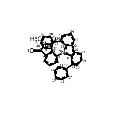 CN1C(=O)c2cccc(-n3c4c(-c5ccccc5)cccc4c4cccc(-c5ccccc5)c43)c2C1=O